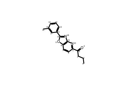 CCCC(=O)c1ccc2oc(-c3cccc(C)c3)nc2n1